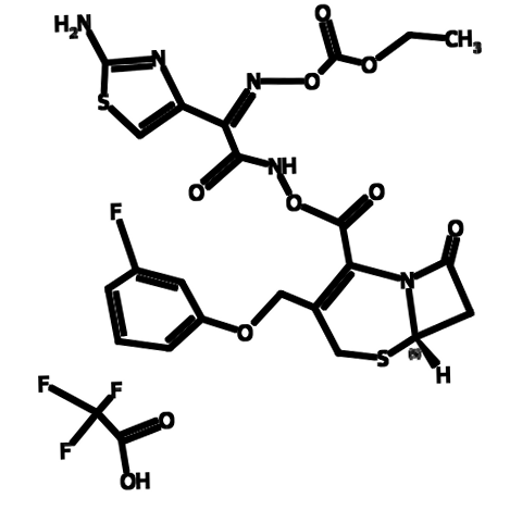 CCOC(=O)ON=C(C(=O)NOC(=O)C1=C(COc2cccc(F)c2)CS[C@H]2CC(=O)N12)c1csc(N)n1.O=C(O)C(F)(F)F